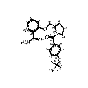 NC(=O)c1ncccc1OC[C@H]1CCCN1C(=O)c1ccc(OC(F)(F)F)cc1